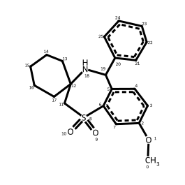 COc1ccc2c(c1)S(=O)(=O)CC1(CCCCC1)NC2c1ccccc1